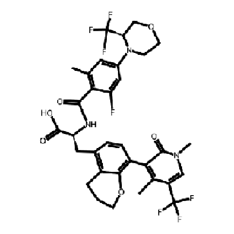 Cc1cc(N2CCOC[C@@H]2C(F)(F)F)cc(F)c1C(=O)N[C@@H](Cc1ccc(-c2c(C)c(C(F)(F)F)cn(C)c2=O)c2c1CCCO2)C(=O)O